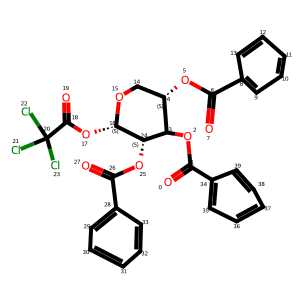 O=C(OC1[C@@H](OC(=O)c2ccccc2)CO[C@@H](OC(=O)C(Cl)(Cl)Cl)[C@H]1OC(=O)c1ccccc1)c1ccccc1